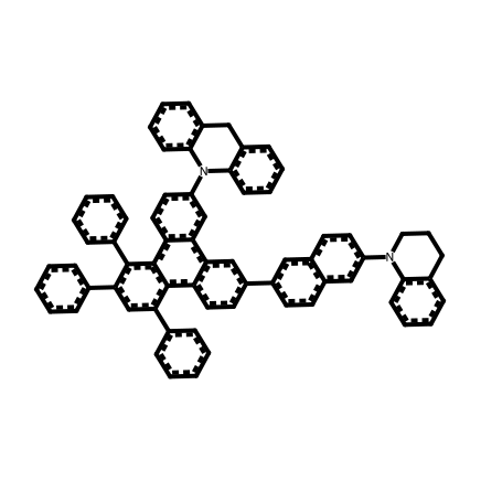 c1ccc(-c2cc(-c3ccccc3)c3c4ccc(-c5ccc6cc(N7CCCc8ccccc87)ccc6c5)cc4c4cc(N5c6ccccc6Cc6ccccc65)ccc4c3c2-c2ccccc2)cc1